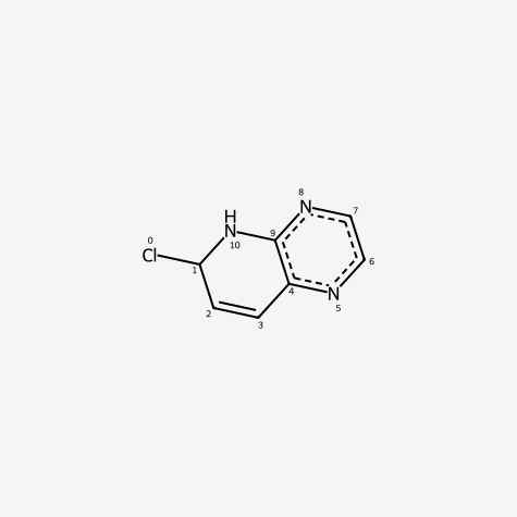 ClC1C=Cc2nccnc2N1